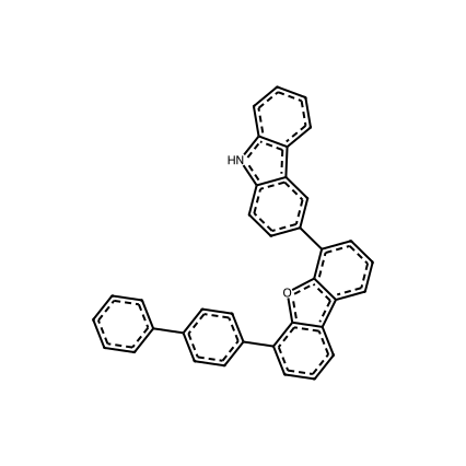 c1ccc(-c2ccc(-c3cccc4c3oc3c(-c5ccc6[nH]c7ccccc7c6c5)cccc34)cc2)cc1